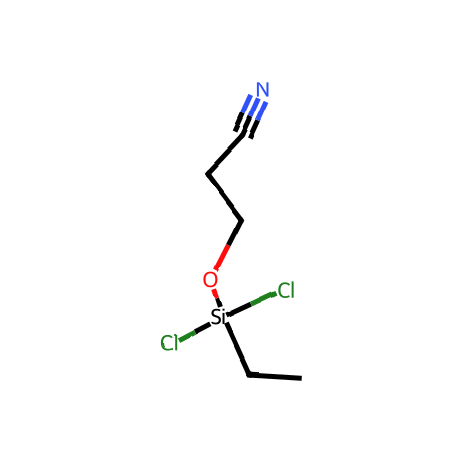 CC[Si](Cl)(Cl)OCCC#N